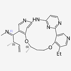 C=C[C@H](C)/C(=N\C)c1cnc2cc1O[C@@H](C)CCOc1c(CC)cncc1-c1nccc(n1)N2